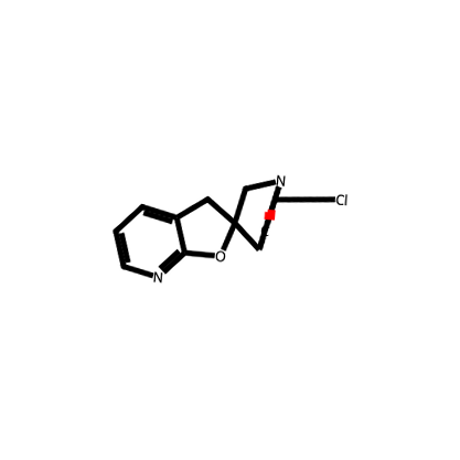 ClC1CC2CCN1CC21Cc2cccnc2O1